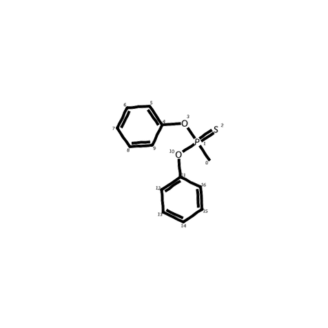 CP(=S)(Oc1ccccc1)Oc1ccccc1